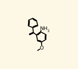 C=C(c1ccccc1)c1cc(OC)ccc1N